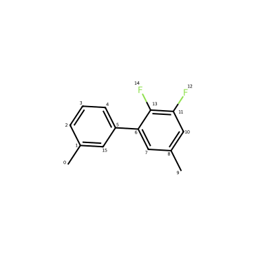 Cc1cccc(-c2cc(C)cc(F)c2F)c1